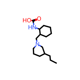 CCCC1CCCN(CC2CCCCC2NC(=O)O)C1